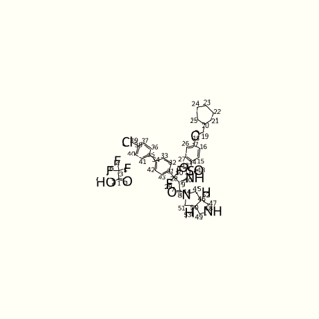 O=C(O)C(F)(F)F.O=C([C@H](NS(=O)(=O)c1ccc(OCC2CCCCC2)cc1)C(F)(F)c1ccc(-c2ccc(Cl)cc2)cc1)N1C[C@H]2CNC[C@H]2C1